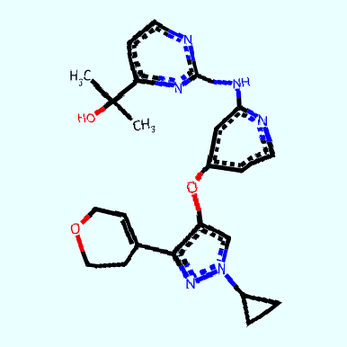 CC(C)(O)c1ccnc(Nc2cc(Oc3cn(C4CC4)nc3C3=CCOCC3)ccn2)n1